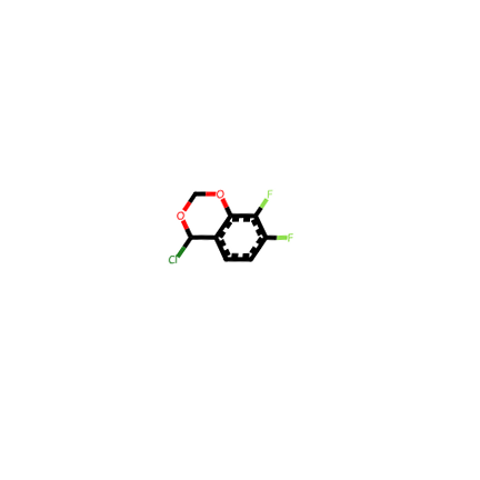 Fc1ccc2c(c1F)OCOC2Cl